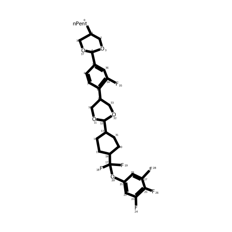 CCCCCC1COC(c2ccc(C3COC(C4CCC(C(F)(F)Oc5cc(F)c(F)c(F)c5)CC4)OC3)c(F)c2)OC1